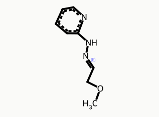 COC/C=N/Nc1ccccn1